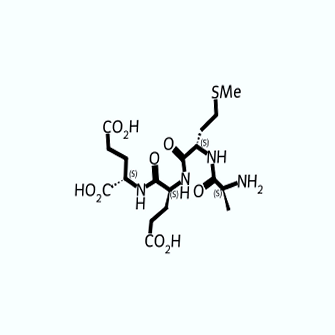 CSCC[C@H](NC(=O)[C@H](C)N)C(=O)N[C@@H](CCC(=O)O)C(=O)N[C@@H](CCC(=O)O)C(=O)O